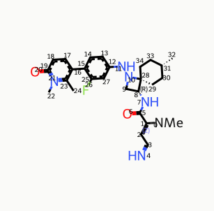 CN/C(=C\C=N)C(=O)N[C@@H]1CN(Nc2ccc(-c3ccc(=O)n(C)c3C)c(F)c2)[C@]12CC[C@@H](C)CC2